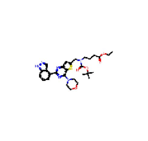 CCOC(=O)CCCN(Cc1cc2nc(-c3cccc4[nH]ncc34)nc(N3CCOCC3)c2s1)C(=O)OC(C)(C)C